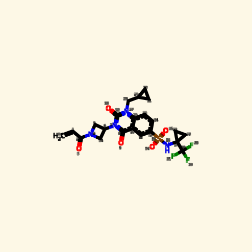 C=CC(=O)N1CC(n2c(=O)c3cc(S(=O)(=O)NC4(C(F)(F)F)CC4)ccc3n(CC3CC3)c2=O)C1